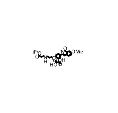 COc1ccc2cc(-c3ccc(OCCCNCCC(=O)OC(C)C)cc3)n(C)c(=O)c2c1.O=C(O)C(=O)O